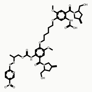 C=C1CC(CO)N(C(=O)c2cc(OC)c(OCCCCCOc3cc(NC(=O)OCC(C)SSc4ccc([N+](=O)[O-])cn4)c(C(=O)N4CC(=C)CC4CO)cc3OC)cc2NC(=O)O)C1